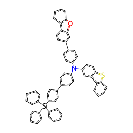 c1ccc([Si](c2ccccc2)(c2ccccc2)c2ccc(-c3ccc(N(c4ccc(-c5ccc6c(c5)oc5ccccc56)cc4)c4ccc5sc6ccccc6c5c4)cc3)cc2)cc1